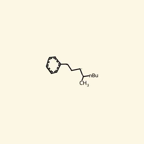 CCCCC(C)[CH]CCc1ccccc1